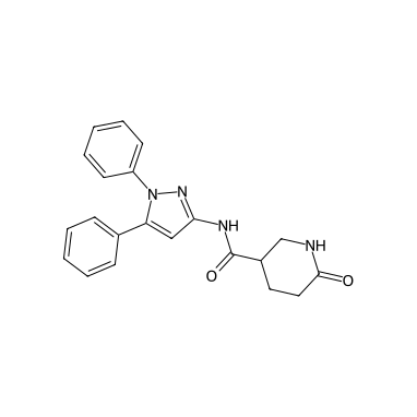 O=C1CCC(C(=O)Nc2cc(-c3ccccc3)n(-c3ccccc3)n2)CN1